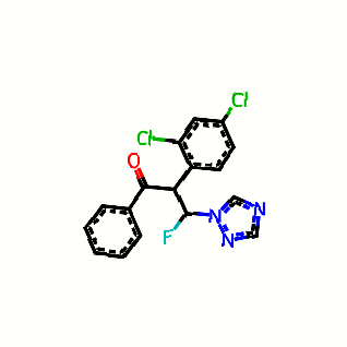 O=C(c1ccccc1)C(c1ccc(Cl)cc1Cl)C(F)n1cncn1